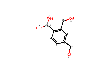 OCc1ccc(B(O)O)c(CO)c1